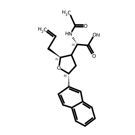 C=CC[C@@H]1O[C@@H](c2ccc3ccccc3c2)CC1[C@H](NC(C)=O)C(=O)O